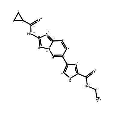 O=C(NCC(F)(F)F)c1nc(-c2ccc3nc(NC(=O)C4CC4)cn3c2)cs1